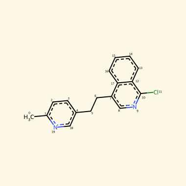 Cc1ccc(CCc2cnc(Cl)c3ccccc23)cn1